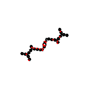 CC(C[C@H](C)c1ccc2c(c1)CCC1C=CC([C@H](C)C[C@H](C)c3ccc(-c4ccc(-c5ccc(N(c6ccccc6)c6ccc(-c7ccc(N(c8ccc(-c9ccccc9)cc8)c8ccc(-c9ccccc9)cc8)cc7)cc6)cc5)cc4)cc3)=CC1CC2)c1ccc(-c2ccc(-c3ccc(N(c4ccccc4)c4ccc(-c5ccc(N(c6ccc(-c7ccccc7)cc6)c6ccc(-c7ccccc7)cc6)cc5)cc4)cc3)cc2)cc1